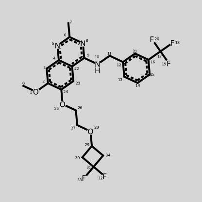 COc1cc2nc(C)nc(NCc3cccc(C(F)(F)F)c3)c2cc1OCCOC1CC(F)(F)C1